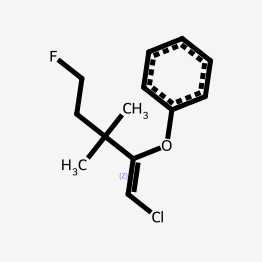 CC(C)(CCF)/C(=C/Cl)Oc1ccccc1